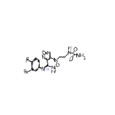 NS(=O)(=O)NCCN1ON/C(=N/c2ccc(F)c(Br)c2)c2nonc21